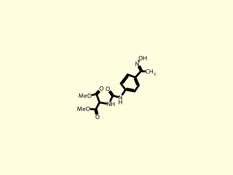 COC(=O)C(NC(=O)Nc1ccc(C(C)=NO)cc1)C(=O)OC